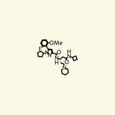 COc1cccc(F)c1-c1cc(C(=O)N[C@@H](CCN2CCCCC2)CC(=O)NC2CCC2)nn1C1CCCC1